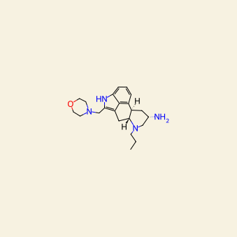 CCCN1C[C@@H](N)C[C@@H]2c3cccc4[nH]c(CN5CCOCC5)c(c34)C[C@H]21